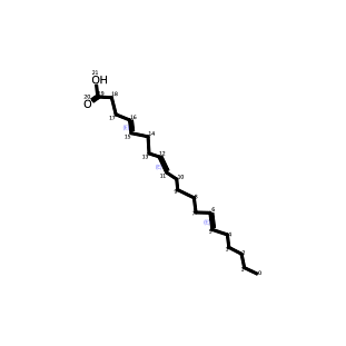 CCCCC/C=C/CCCC/C=C/CC/C=C/CCC(=O)O